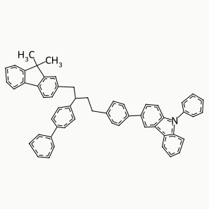 CC1(C)c2ccccc2-c2ccc(CC(CCc3ccc(-c4ccc5c(c4)c4ccccc4n5-c4ccccc4)cc3)c3ccc(-c4ccccc4)cc3)cc21